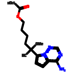 CCCCCCCCC(=O)OCCCCC(C#N)(OC)c1ccc2c(N)ncnn12